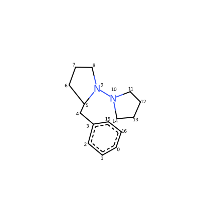 c1ccc(CC2CCCN2N2CCCC2)cc1